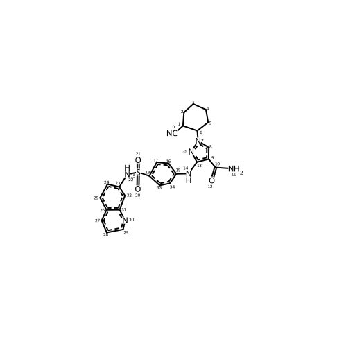 N#CC1CCCCC1n1cc(C(N)=O)c(Nc2ccc(S(=O)(=O)Nc3ccc4cccnc4c3)cc2)n1